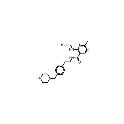 Cc1ncc(C(=O)NCCc2ccc(CN3CCN(C)CC3)cc2)c(NCC(C)(C)C)n1